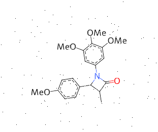 COc1ccc(C2C(C)C(=O)N2c2cc(OC)c(OC)c(OC)c2)cc1